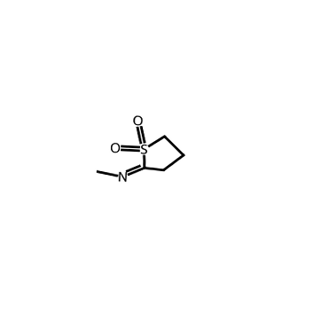 CN=C1CCCS1(=O)=O